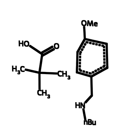 CC(C)(C)C(=O)O.CCCCNCc1ccc(OC)cc1